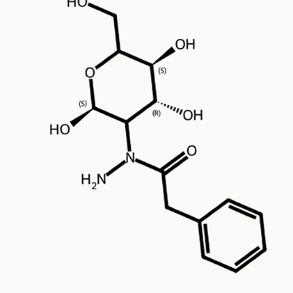 NN(C(=O)Cc1ccccc1)C1[C@@H](O)[C@H](O)C(CO)O[C@@H]1O